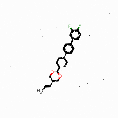 CC=C[C@H]1CO[C@H]([C@H]2CC[C@H](c3ccc(-c4ccc(F)c(F)c4)cc3)CC2)OC1